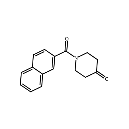 O=C1CCN(C(=O)c2ccc3ccccc3c2)CC1